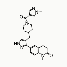 CN1C(=O)CCc2cc(-c3n[nH]cc3CC3CCN(C(=O)c4cnn(C)c4)CC3)ccc21